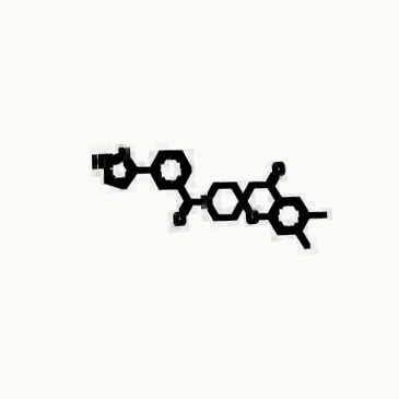 Cc1cc2c(cc1C)C(=O)CC1(CCN(C(=O)c3cccc(-c4cc[nH]n4)c3)CC1)O2